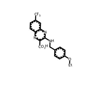 CCOc1ccc(CNc2nc3cc(C(F)(F)F)ccc3nc2C(=O)O)cc1